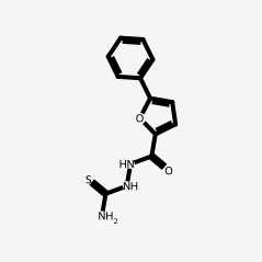 NC(=S)NNC(=O)c1ccc(-c2ccccc2)o1